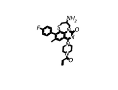 C=CC(=O)N1CCN(c2nc(=O)n3c4c(c(-c5ccc(F)cc5)c(C)cc24)SCC(N)C3)CC1